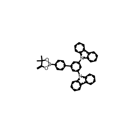 C=C1OB(c2ccc(-c3cc(-n4c5ccccc5c5ccccc54)cc(-n4c5ccccc5c5ccccc54)c3)cc2)OC1(C)C